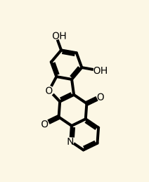 O=C1c2ncccc2C(=O)c2c1oc1cc(O)cc(O)c21